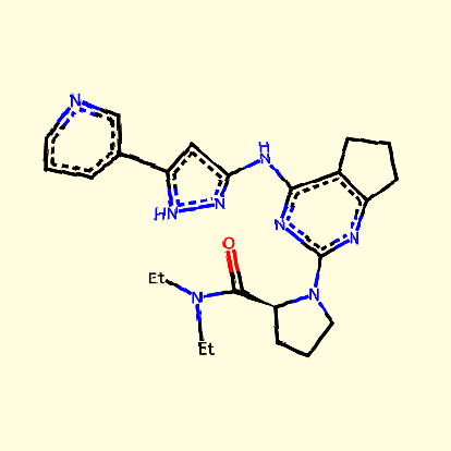 CCN(CC)C(=O)[C@@H]1CCCN1c1nc2c(c(Nc3cc(-c4cccnc4)[nH]n3)n1)CCC2